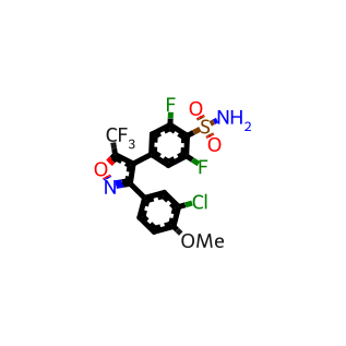 COc1ccc(-c2noc(C(F)(F)F)c2-c2cc(F)c(S(N)(=O)=O)c(F)c2)cc1Cl